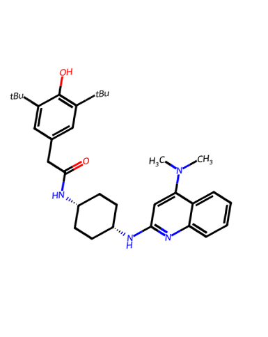 CN(C)c1cc(N[C@H]2CC[C@@H](NC(=O)Cc3cc(C(C)(C)C)c(O)c(C(C)(C)C)c3)CC2)nc2ccccc12